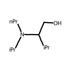 CCCN(C(C)C)C(CO)C(C)C